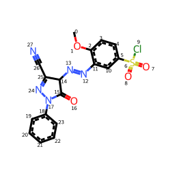 COc1ccc(S(=O)(=O)Cl)cc1N=NC1C(=O)N(c2ccccc2)N=C1C#N